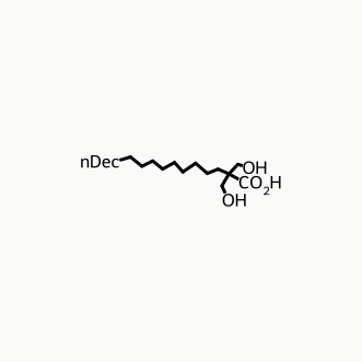 CCCCCCCCCCCCCCCCCCCC(CO)(CO)C(=O)O